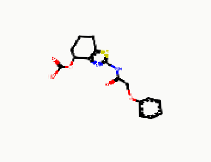 O=C(COc1ccccc1)Nc1nc2c(s1)CCCC2OC(=O)O